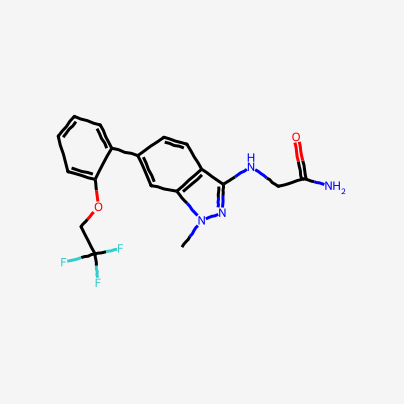 Cn1nc(NCC(N)=O)c2ccc(-c3ccccc3OCC(F)(F)F)cc21